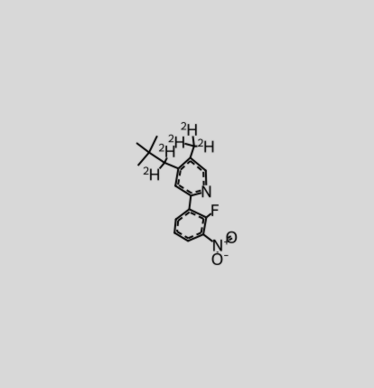 [2H]C([2H])([2H])c1cnc(-c2cccc([N+](=O)[O-])c2F)cc1C([2H])([2H])C(C)(C)C